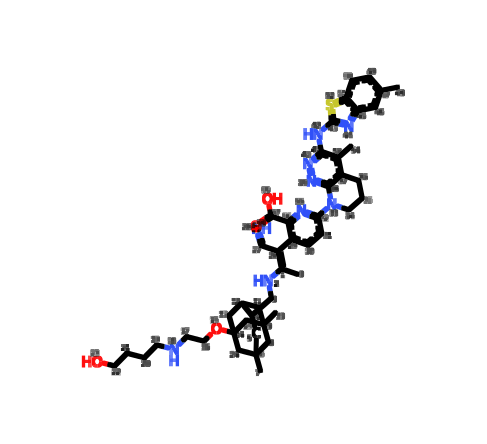 C/C(NCC1CC2(C)CC3(C)CC1CC(OCCNCCCCO)(C2)C3)=C(/C=N)c1ccc(N2CCCc3c2nnc(Nc2nc4cc(C)ccc4s2)c3C)nc1C(=O)O